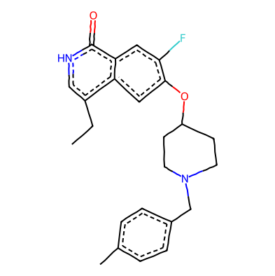 CCc1c[nH]c(=O)c2cc(F)c(OC3CCN(Cc4ccc(C)cc4)CC3)cc12